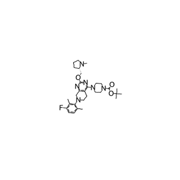 Cc1ccc(F)c(C)c1N1CCc2c(nc(OC[C@@H]3CCCN3C)nc2N2CCN(C(=O)OC(C)(C)C)CC2)C1